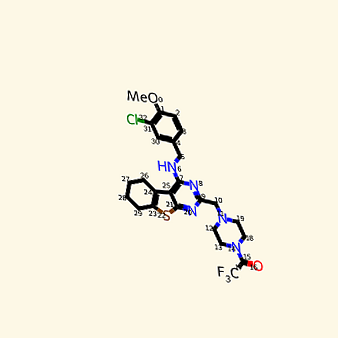 COc1ccc(CNc2nc(CN3CCN(C(=O)C(F)(F)F)CC3)nc3sc4c(c23)CCCC4)cc1Cl